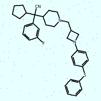 N#CC(c1cccc(F)c1)(C1CCCC1)C1CCN(CC2CN(c3ccc(Sc4ccccc4)cc3)C2)CC1